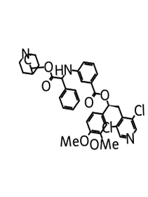 COc1ccc([C@H](Cc2c(Cl)cncc2Cl)OC(=O)c2cccc(NC(C(=O)OC3CN4CCC3CC4)c3ccccc3)c2)cc1OC